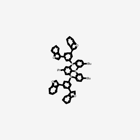 CC(C)c1cc2c3c(c1)N(c1cc(-c4coc5ccccc45)cc(-c4coc5ccccc45)c1)c1ccc(C(C)(C)C)cc1B3c1cc(C(C)(C)C)ccc1N2c1cc(-c2coc3ccccc23)cc(-c2coc3ccccc23)c1